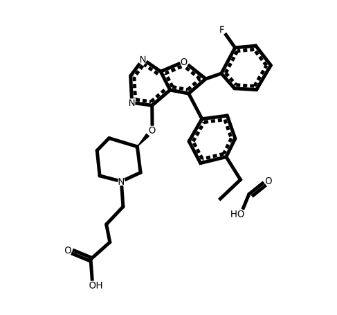 CCc1ccc(-c2c(-c3ccccc3F)oc3ncnc(O[C@@H]4CCCN(CCCC(=O)O)C4)c23)cc1.O=CO